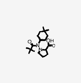 CC1(C)CCC(N(C(=O)C(C)(C)C)N2CCCC2C(=O)O)CC1